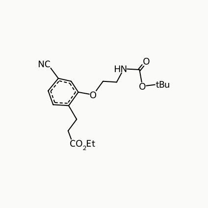 CCOC(=O)CCc1ccc(C#N)cc1OCCNC(=O)OC(C)(C)C